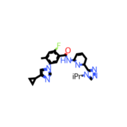 Cc1cc(F)c(C(=O)NC2=NC(c3nncn3C(C)C)CC=C2)cc1-n1cnc(C2CC2)c1